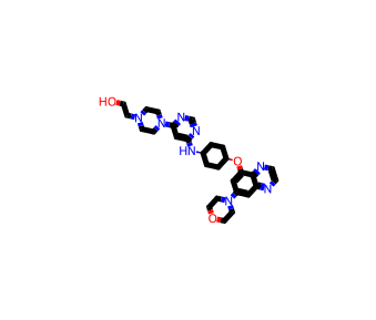 OCCN1CCN(c2cc(N[C@H]3CC[C@@H](Oc4cc(N5CCOCC5)cc5nccnc45)CC3)ncn2)CC1